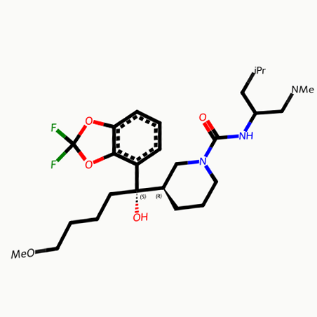 CNCC(CC(C)C)NC(=O)N1CCC[C@@H]([C@@](O)(CCCCOC)c2cccc3c2OC(F)(F)O3)C1